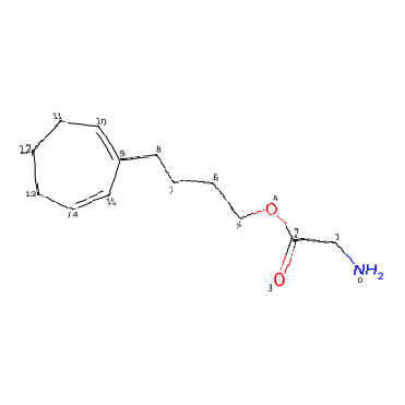 NCC(=O)OCCCCC1=CCCCC=C1